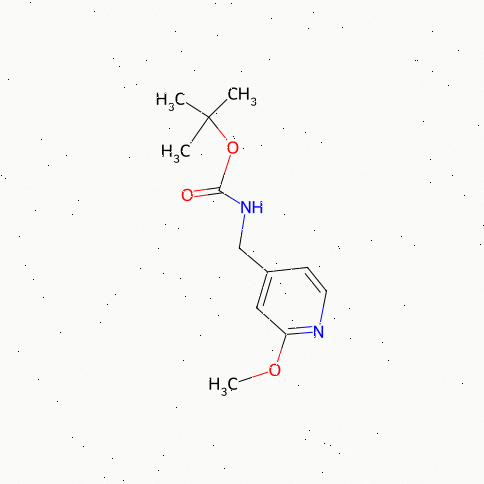 COc1cc(CNC(=O)OC(C)(C)C)ccn1